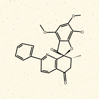 COc1cc(OC)c2c(c1Cl)O[C@]1(C2=O)c2nc(-c3ccccc3)ccc2C(=O)C[C@H]1C